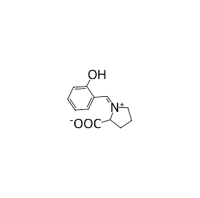 O=C([O-])C1CCC[N+]1=Cc1ccccc1O